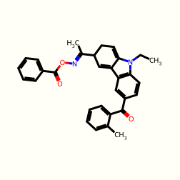 CCn1c2c(c3cc(C(=O)c4ccccc4C)ccc31)=CC(C(C)=NOC(=O)c1ccccc1)CC=2